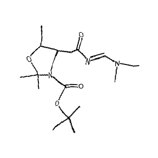 CC1OC(C)(C)N(C(=O)OC(C)(C)C)C1C(=O)N=CN(C)C